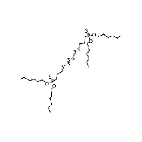 CCCCCCOP(=S)(CCCSSSSSSCCCP(=S)(OCCCCCC)OCCCCCC)OCCCCCC